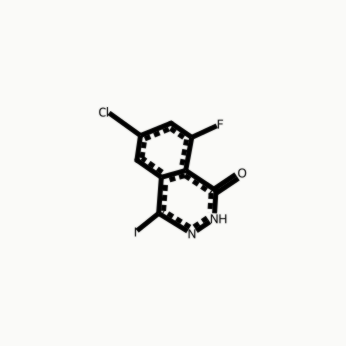 O=c1[nH]nc(I)c2cc(Cl)cc(F)c12